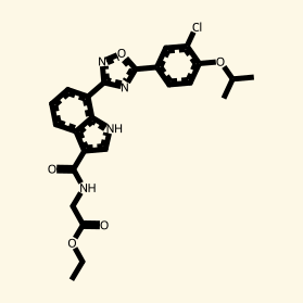 CCOC(=O)CNC(=O)c1c[nH]c2c(-c3noc(-c4ccc(OC(C)C)c(Cl)c4)n3)cccc12